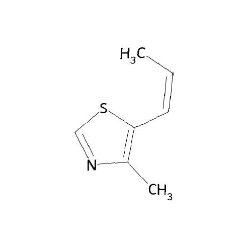 C/C=C\c1scnc1C